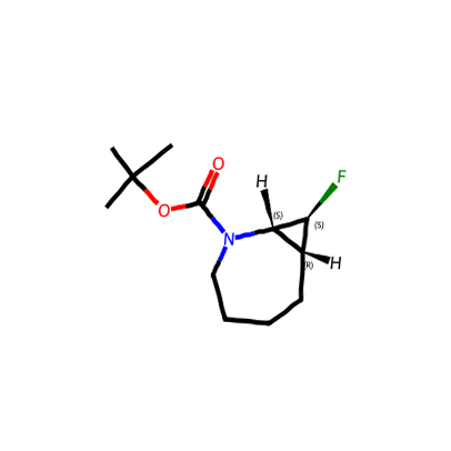 CC(C)(C)OC(=O)N1CCCC[C@H]2[C@H](F)[C@H]21